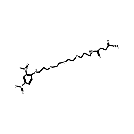 NC(=O)CCC(=O)NCCCOCCOCCOCCCNc1ccc([N+](=O)[O-])cc1[N+](=O)[O-]